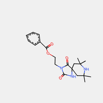 CC1(C)CC2(CC(C)(C)N1)NC(=O)N(CCOC(=O)c1ccccc1)C2=O